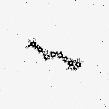 COc1c(Cl)cc(C(C)(C)c2ccc(OCC3C=CN=C(N4CCC(CN5CCC(C6CCN(c7cc(N(C)C)c(N(C=O)C8CCC(=O)NC8=O)cc7F)CC6)CC5)CC4)N3)cc2)cc1C#N